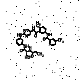 C=CC(=O)N[C@@H](CO)C(=O)Nc1cccc(Nc2ncc(NC(=O)c3cc(NC(=O)c4cccc(C(F)(F)F)c4)ccc3C)cn2)c1